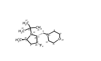 C[C@@H]1C[C@@H](F)[C@@H](CN2CCOCC2)N1C(C)(C)C